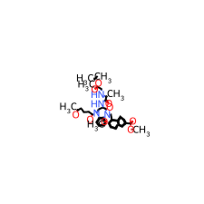 COC(=O)c1ccc2c(CN3C(=O)C(NC(=O)C(C)NCC(=O)OC(C)(C)C)CN(C(=O)CCCC(C)=O)c4ccccc43)c(OC)ccc2c1